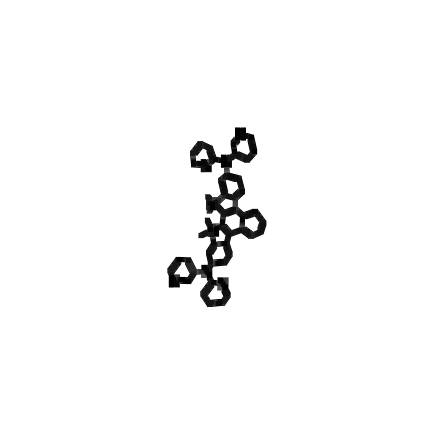 C[Si]1(C)c2cc(N(c3cccnc3)c3ccccn3)ccc2-c2c1c1c(c3ccccc23)-c2ccc(N(c3cccnc3)c3ccccn3)cc2[Si]1(C)C